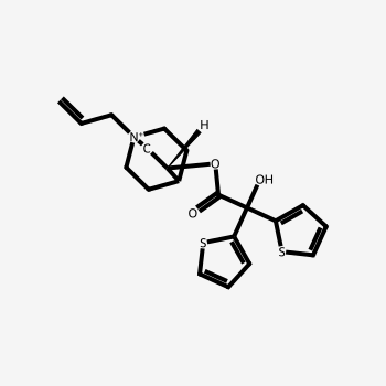 C=CC[N+]12CCC(CC1)[C@@H](OC(=O)C(O)(c1cccs1)c1cccs1)C2